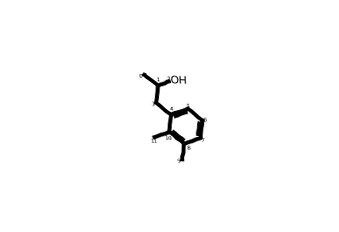 [CH2]C(O)Cc1cccc(C)c1C